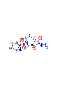 NC(=O)C1CCCN(S(=O)(=O)c2ccccn2)CC1=O